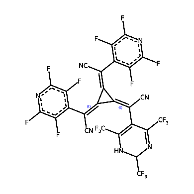 N#CC(=C1C(=C(\C#N)C2=C(C(F)(F)F)NC(C(F)(F)F)N=C2C(F)(F)F)/C1=C(\C#N)c1c(F)c(F)nc(F)c1F)c1c(F)c(F)nc(F)c1F